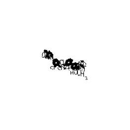 CC(O)(O)c1cc(F)c(-c2cccc3c2OCN(C(=O)c2c(Cl)cc(N4CCC5(CCOC5)C4)cc2Cl)C3)cc1N1CCOCC1